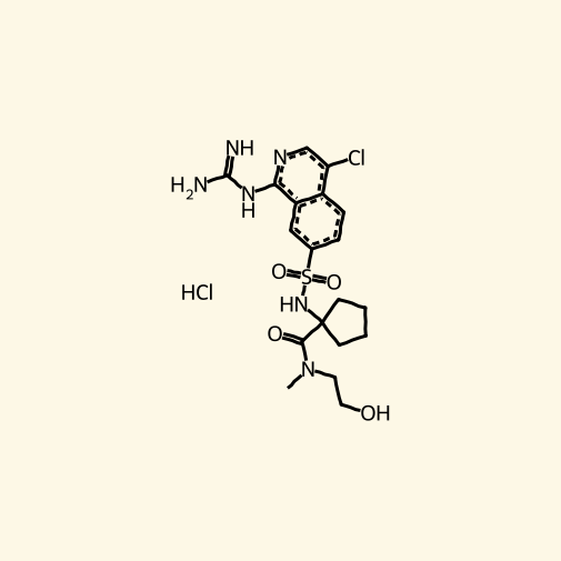 CN(CCO)C(=O)C1(NS(=O)(=O)c2ccc3c(Cl)cnc(NC(=N)N)c3c2)CCCC1.Cl